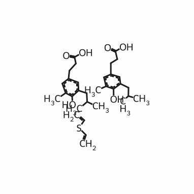 C=CSC=C.Cc1cc(CCC(=O)O)cc(CC(C)C)c1O.Cc1cc(CCC(=O)O)cc(CC(C)C)c1O